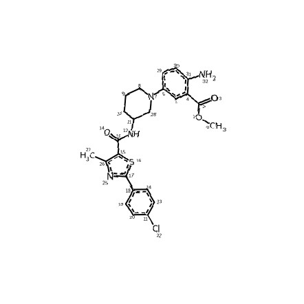 COC(=O)c1cc(N2CCCC(NC(=O)c3sc(-c4ccc(Cl)cc4)nc3C)C2)ccc1N